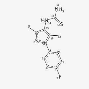 Cc1nn(-c2ccc(F)cc2)c(C)c1NC(N)=S